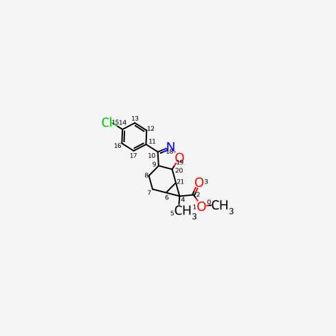 COC(=O)C1(C)C2CCC3C(c4ccc(Cl)cc4)=NOC3C21